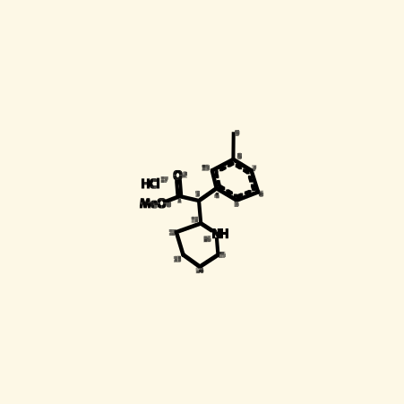 COC(=O)C(c1cccc(C)c1)C1CCCCN1.Cl